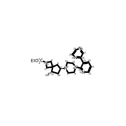 CCOC(=O)N1CC2(C[C@@H](N3CCN(c4ncccc4-c4cnccn4)CC3)C[C@@H]2F)C1